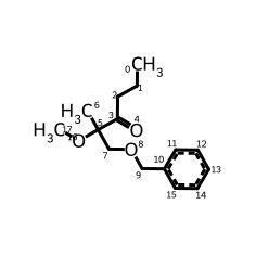 CCCC(=O)C(C)(COCc1ccccc1)OC